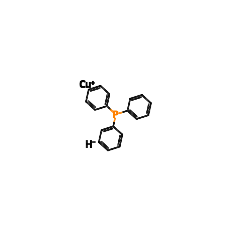 [Cu+].[H-].c1ccc(P(c2ccccc2)c2ccccc2)cc1